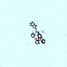 Cc1cc(C)c(N2/C(=C/C=C3C(=O)c4c(Cl)c(Cl)c(Cl)c(Cl)c4C3=O)C(C)(C)c3cc4c(cc32)N(c2c(C)cc(C)cc2C)c2ccccc2O4)c(C)c1